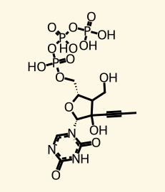 CC#CC1(O)C(CO)[C@@H](COP(=O)(O)OP(=O)(O)OP(=O)(O)O)O[C@H]1n1cnc(=O)[nH]c1=O